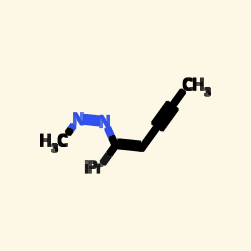 CC#C/C=C(\N=N/C)C(C)C